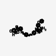 Nc1ncnc2c1c(-c1ccc(Oc3ccccc3)cc1)nn2C1CCN(CCCc2ccc(CCSc3cccc4c3C(=O)N(C3CCC(=O)NC3=O)C4=O)cc2)CC1